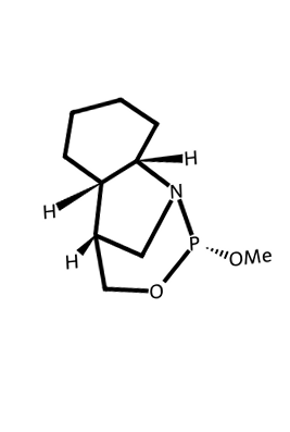 CO[P@]1OC[C@H]2CN1[C@H]1CCCC[C@@H]21